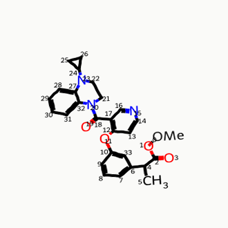 COOC(=O)C(C)c1cccc(Oc2ccncc2C(=O)N2CCN(C3CC3)c3ccccc32)c1